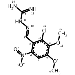 COc1cc([N+](=O)[O-])c(/C=N/NC(=N)N)c(Cl)c1OC